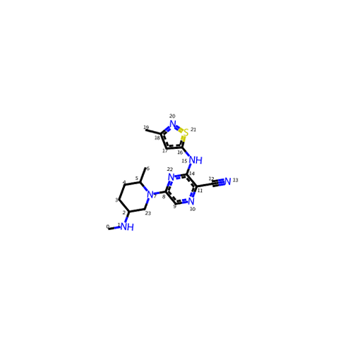 CNC1CCC(C)N(c2cnc(C#N)c(Nc3cc(C)ns3)n2)C1